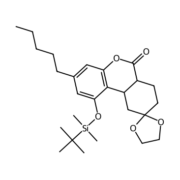 CCCCCc1cc2c(c(O[Si](C)(C)C(C)(C)C)c1)C1CC3(CCC1C(=O)O2)OCCO3